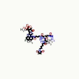 CC[C@@]1(O)C(=O)OCc2c1cc1n(c2=O)Cc2c-1nc1cc(F)c(C)c3c1c2[C@@H](NC(=O)CCCNC(=O)[C@H](CCCNC(N)=O)NC(=O)[C@@H](NC(=O)CCCCCN1C(=O)C=CC1=O)C(C)C)CC3